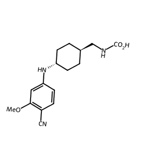 COc1cc(N[C@H]2CC[C@H](CNC(=O)O)CC2)ccc1C#N